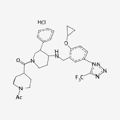 CC(=O)N1CCC(C(=O)N2CCC(NCc3cc(-n4nnnc4C(F)(F)F)ccc3OC3CC3)C(c3ccccc3)C2)CC1.Cl